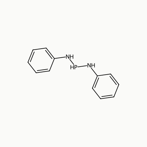 c1ccc(NPNc2ccccc2)cc1